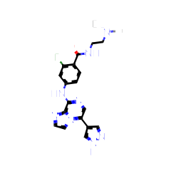 CCN(CC)CCNC(=O)c1ccc(Nc2ncc(-c3cn[nH]c3)n3ccnc23)cc1F